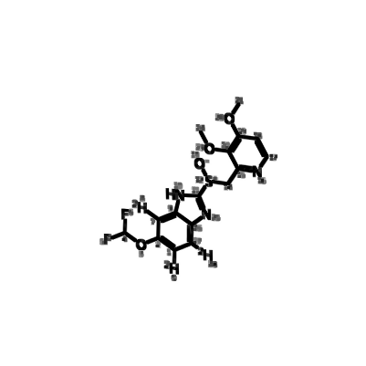 [2H]c1c(OC(F)F)c([2H])c2[nH]c([S+]([O-])Cc3nccc(OC)c3OC)nc2c1[2H]